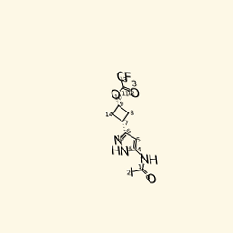 O=C(I)Nc1cc([C@H]2C[C@@H](OC(=O)C(F)(F)F)C2)n[nH]1